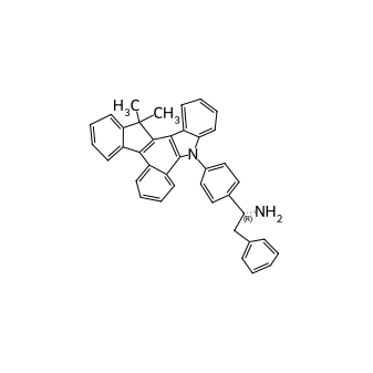 CC1(C)c2ccccc2-c2c1c1c3ccccc3n(-c3ccc([C@H](N)Cc4ccccc4)cc3)c1c1ccccc21